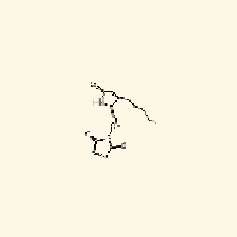 CCCCCC1=CC(=O)NC1=O.O=C1CCC(=O)N1O